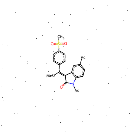 CO/C(=C1\C(=O)N(C(C)=O)c2ccc(C(C)=O)cc21)c1ccc(S(C)(=O)=O)cc1